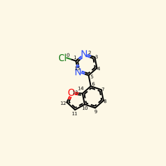 Clc1nccc(-c2cccc3ccoc23)n1